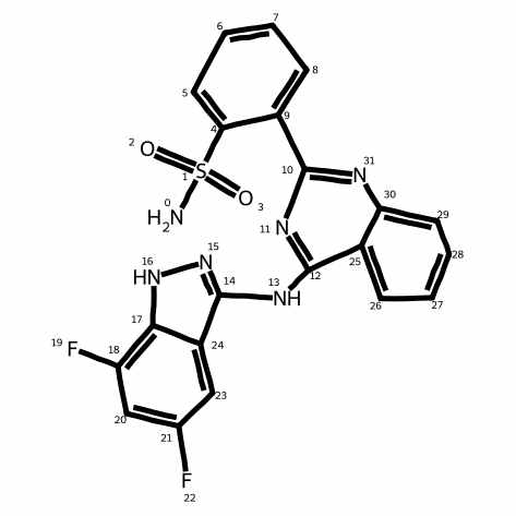 NS(=O)(=O)c1ccccc1-c1nc(Nc2n[nH]c3c(F)cc(F)cc23)c2ccccc2n1